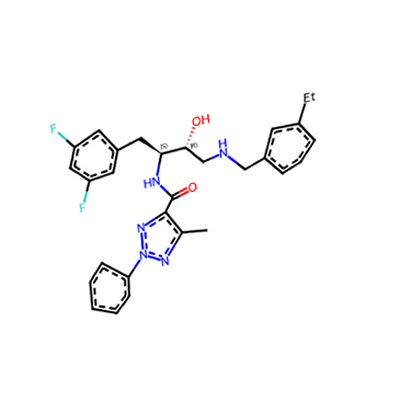 CCc1cccc(CNC[C@@H](O)[C@H](Cc2cc(F)cc(F)c2)NC(=O)c2nn(-c3ccccc3)nc2C)c1